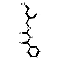 C=C/C=C(\C=C)CNC(=O)NC(=O)c1ccccc1